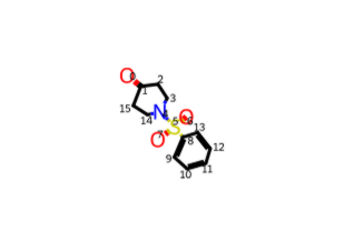 O=C1CCN(S(=O)(=O)c2ccccc2)CC1